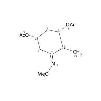 CO/N=C1\C[C@H](OC(C)=O)C[C@H](OC(C)=O)C1C